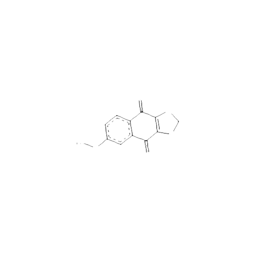 CCCCOc1ccc2c(c1)C(=O)C1=C(OCO1)C2=O